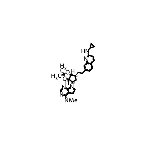 CNc1ncnc2c1ccn2[C@@H]1C[C@H](CCc2ccc3ccc(NC4CC4)nc3c2)[C@H]2OC(C)(C)O[C@H]21